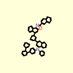 c1ccc(-c2ccccc2-c2ccc(N(c3ccccc3)c3cc(-c4cccc(-c5cc6oc(-c7ccc8ccccc8c7)nc6c6ccccc56)c4)cc4ccccc34)cc2)cc1